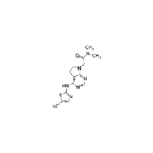 CN(C)C(=O)CN1CCc2c(Nc3ncc(C#N)s3)ncnc21